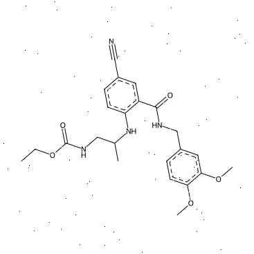 CCOC(=O)NCC(C)Nc1ccc(C#N)cc1C(=O)NCc1ccc(OC)c(OC)c1